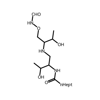 CCCCCCCC(=O)NC(CNC(CONC=O)C(C)O)C(C)O